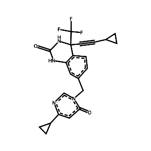 O=C1Nc2cc(Cn3cnc(C4CC4)cc3=O)ccc2C(C#CC2CC2)(C(F)(F)F)N1